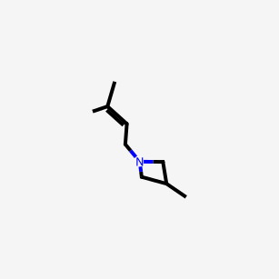 CC(C)=CCN1CC(C)C1